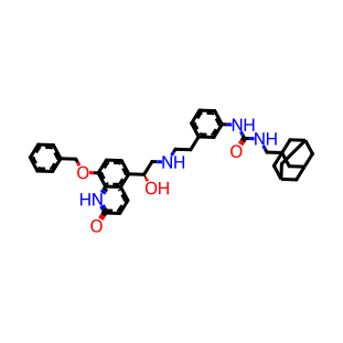 O=C(NCC12CC3CC(CC(C3)C1)C2)Nc1cccc(CCNC[C@@H](O)c2ccc(OCc3ccccc3)c3[nH]c(=O)ccc23)c1